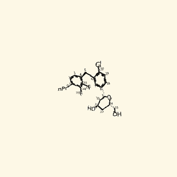 CCCc1ccc(Cc2cc([C@H]3CC(O)C[C@@H](CO)O3)ccc2Cl)c(F)c1F